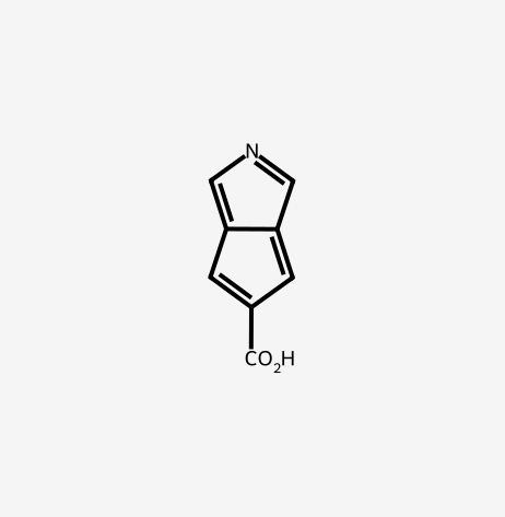 O=C(O)C1=CC2=CN=CC2=C1